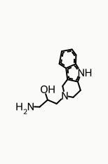 NCC(O)CN1CCc2[nH]c3ccccc3c2C1